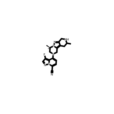 CC1Cc2c(nn3c2CN(c2ccc(C#N)n4ncc(F)c24)C[C@H]3C)CN1